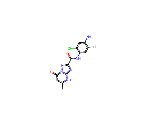 Cc1cc(=O)n2nc(C(=O)Nc3cc(Cl)c(N)cc3Cl)nc2[nH]1